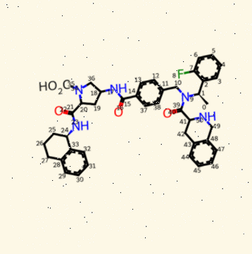 C[C@H](c1ccccc1F)N(Cc1ccc(C(=O)NC2CC(C(=O)N[C@@H]3CCCc4ccccc43)N(C(=O)O)C2)cc1)C(=O)C1Cc2ccccc2CN1